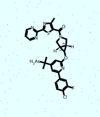 Cc1nc(-c2ncccn2)sc1C(=O)N1C[C@@H]2C(Oc3cc(C(C)(C)[AsH2])cc(-c4ccc(Cl)c(F)c4)n3)[C@@H]2C1